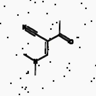 CC(=O)C(C#N)=CN(C)C